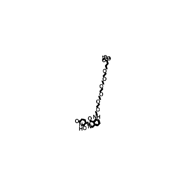 CC(C)(C)OC(=O)CCCOCCOCCOCCOCCOCCOCCNc1cccc2cnn(C3CCC(=O)NC3=O)c(=O)c12